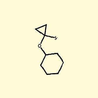 [S]C1(OC2CCCCC2)CC1